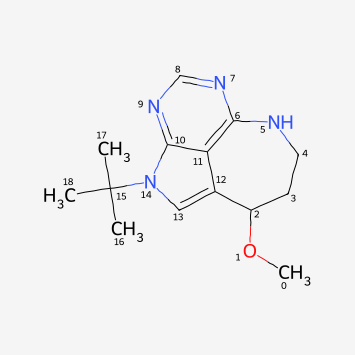 COC1CCNc2ncnc3c2c1cn3C(C)(C)C